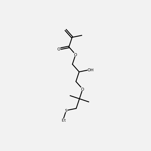 C=C(C)C(=O)OCC(O)COC(C)(C)CSCC